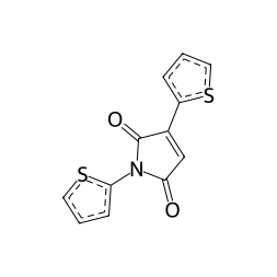 O=C1C=C(c2cccs2)C(=O)N1c1cccs1